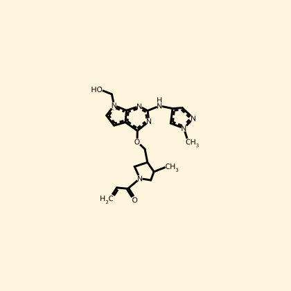 C=CC(=O)N1CC(C)C(COc2nc(Nc3cnn(C)c3)nc3c2ccn3CO)C1